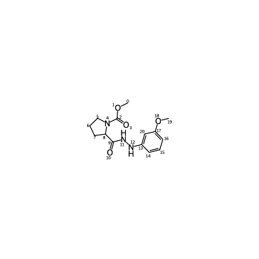 COC(=O)N1CCCC1C(=O)NNc1cccc(OC)c1